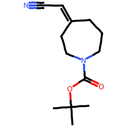 CC(C)(C)OC(=O)N1CCC/C(=C/C#N)CC1